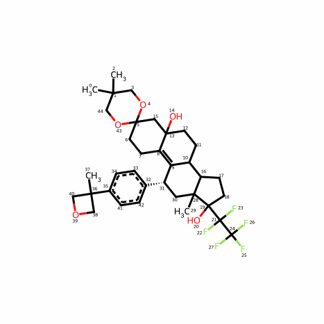 CC1(C)COC2(CCC3=C4C(CCC3(O)C2)C2CCC(O)(C(F)(F)C(F)(F)F)C2(C)C[C@@H]4c2ccc(C3(C)COC3)cc2)OC1